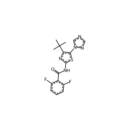 CC(C)(C)c1nc(NC(=O)c2c(F)cccc2F)sc1-n1cncn1